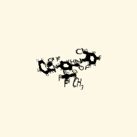 C[C@H](Oc1cc(-n2nc3n(c2=O)CCCC3)c(F)cc1C(=O)Nc1c(F)cc(F)cc1Cl)C(F)(F)F